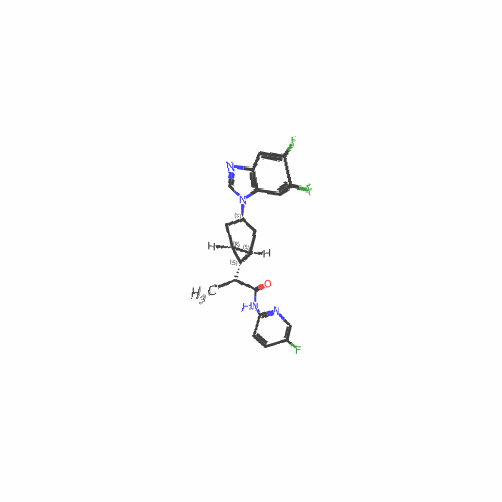 CC(C(=O)Nc1ccc(F)cn1)[C@@H]1[C@@H]2C[C@@H](n3cnc4cc(F)c(F)cc43)C[C@@H]21